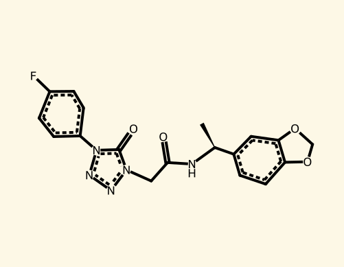 C[C@H](NC(=O)Cn1nnn(-c2ccc(F)cc2)c1=O)c1ccc2c(c1)OCO2